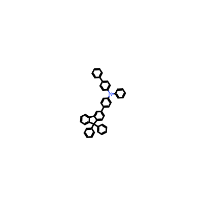 c1ccc(-c2ccc(N(c3ccccc3)c3ccc(-c4ccc5c(c4)-c4ccccc4C5(c4ccccc4)c4ccccc4)cc3)cc2)cc1